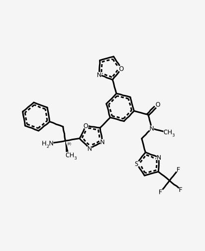 CN(Cc1nc(C(F)(F)F)cs1)C(=O)c1cc(-c2ncco2)cc(-c2nnc([C@](C)(N)Cc3ccccc3)o2)c1